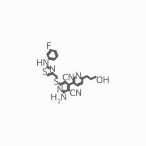 N#Cc1c(N)nc(SCc2csc(Nc3cccc(F)c3)n2)c(C#N)c1-c1ccc(CCCO)nc1